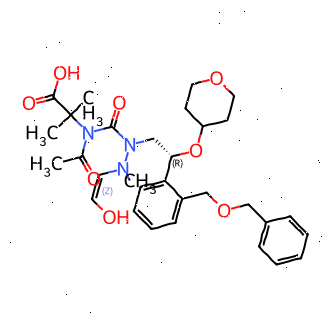 CC(=O)N(C(=O)N(C[C@H](OC1CCOCC1)c1ccccc1COCc1ccccc1)N(C)/C=C\O)C(C)(C)C(=O)O